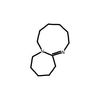 C1CCCN2CCCCCC2=NCC1